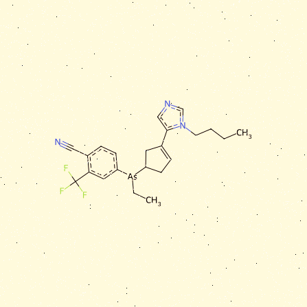 CCCCn1cncc1C1=CCC([As](CC)c2ccc(C#N)c(C(F)(F)F)c2)C1